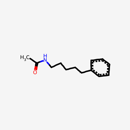 CC(=O)NCCCC[CH]c1ccccc1